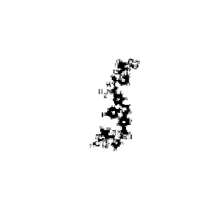 C=C(N/C=C(\N)c1ccc(C2CCC(c3ccc(-c4c[nH]c([C@@H]5CCCN5C(=O)[C@@H](NC(=O)OC)C(C)(C)C)n4)cc3)N2c2ccc(F)cc2)cc1)[C@@H]1CCCN1C(=O)[C@@H](NC(=O)OC)C(C)(C)C